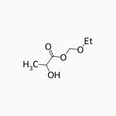 CCOCOC(=O)C(C)O